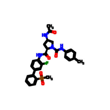 CC(=O)N[C@@H]1C[C@H](C(=O)Nc2ccc(-c3ccccc3S(C)(=O)=O)cc2F)N(C(=O)Nc2ccc(C)cc2)C1